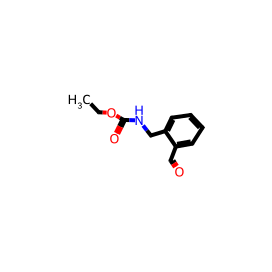 CCOC(=O)NCc1ccccc1C=O